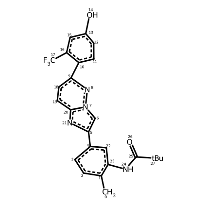 Cc1ccc(-c2cn3nc(-c4ccc(O)cc4C(F)(F)F)ccc3n2)cc1NC(=O)C(C)(C)C